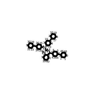 c1ccc(-c2ccc(-c3nc(N(c4ccc(-c5ccccc5)cc4)c4ccc(-c5ccccc5)cc4)nc4ccccc34)cc2)cc1